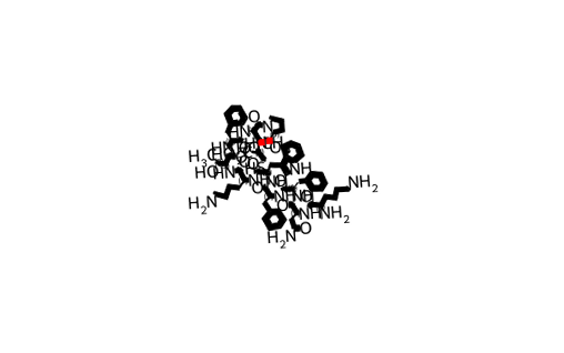 C[C@@H](O)[C@H](NC(=O)[C@H](CCCCN)NC(=O)[C@@H](Cc1c[nH]c2ccccc12)NC(=O)[C@H](Cc1ccccc1)NC(=O)[C@H](Cc1ccccc1)NC(=O)[C@H](CC(N)=O)NC(=O)[C@@H](N)CCCCN)C(=O)N[C@@H](Cc1ccccc1)C(=O)N[C@H](C(=O)N1CCC[C@H]1C(=O)N[C@@H](CS)C(=O)O)[C@@H](C)O